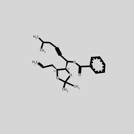 C=CC[C@@H]1OC(C)(C)O[C@@H]1C(C#CCC(C)C)OC(=O)c1ccccc1